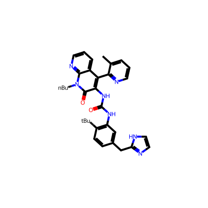 CCCCn1c(=O)c(NC(=O)Nc2cc(Cc3ncc[nH]3)ccc2C(C)(C)C)c(-c2ncccc2C)c2cccnc21